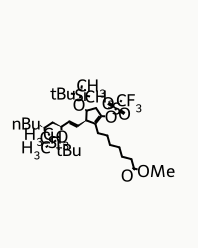 CCCC[C@@H](C)C[C@@H](/C=C/[C@@H]1C(CCCCCCC(=O)OC)=C(OS(=O)(=O)C(F)(F)F)C[C@H]1O[Si](C)(C)C(C)(C)C)O[Si](C)(C)C(C)(C)C